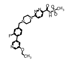 CCOc1cncc(-c2ccc(CN3CCN(c4ccc(C(=O)NS(C)(=O)=O)nn4)CC3)cc2F)c1